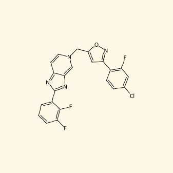 Fc1cc(Cl)ccc1-c1cc(Cn2ccc3nc(-c4cccc(F)c4F)nc-3c2)on1